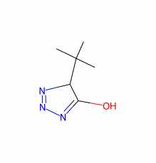 CC(C)(C)C1N=NN=C1O